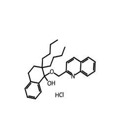 CCCCC1(CCCC)CCc2ccccc2C1(O)OCc1ccc2ccccc2n1.Cl